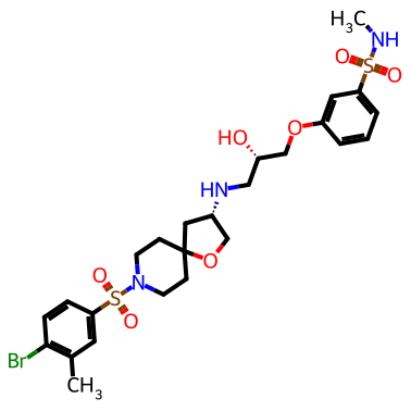 CNS(=O)(=O)c1cccc(OC[C@@H](O)CN[C@@H]2COC3(CCN(S(=O)(=O)c4ccc(Br)c(C)c4)CC3)C2)c1